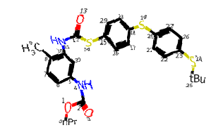 CCCOC(=O)Nc1ccc(C)c(NC(=O)Sc2ccc(Sc3ccc(SC(C)(C)C)cc3)cc2)c1